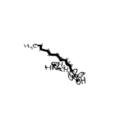 CCCCCCCCCCCOS(=O)(=O)O.CNC